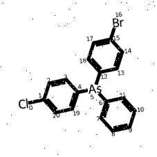 Clc1ccc([As](c2ccccc2)c2ccc(Br)cc2)cc1